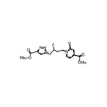 COC(=O)c1ccn(CCC(F)Cn2cc(C(=O)OC(C)(C)C)nn2)c(=O)c1